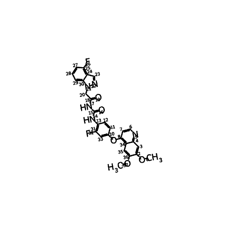 COc1cc2nccc(Oc3ccc(NC(=O)NC(=O)Cn4ncc5c(F)cccc54)c(F)c3)c2cc1OC